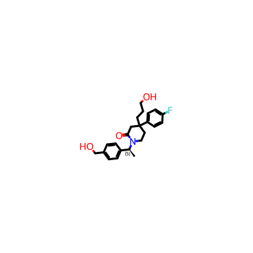 C[C@@H](c1ccc(CO)cc1)N1CCC(CCCO)(c2ccc(F)cc2)CC1=O